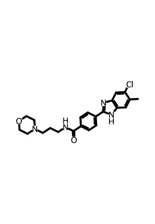 Cc1cc2[nH]c(-c3ccc(C(=O)NCCCN4CCOCC4)cc3)nc2cc1Cl